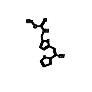 CC(C)(C)OC(=O)NCc1ccc(C=C(C#N)c2cccs2)s1